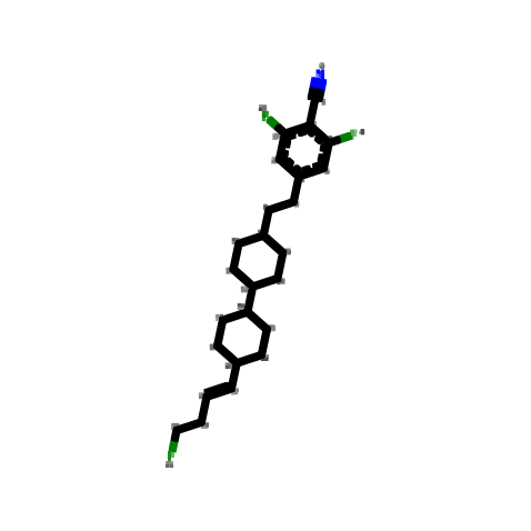 N#Cc1c(F)cc(CCC2CCC(C3CCC(C=CCCF)CC3)CC2)cc1F